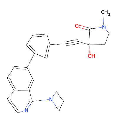 CN1CC[C@@](O)(C#Cc2cccc(-c3ccc4ccnc(N5CCC5)c4c3)c2)C1=O